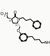 NCCCCc1cccc(OC[C@@H]2C[C@@H](CC(=O)O)C(=O)N2CCCc2ccccc2)c1